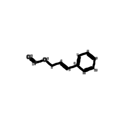 O=POC/C=C/c1ccccc1